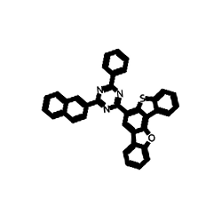 c1ccc(-c2nc(-c3ccc4ccccc4c3)nc(-c3cc4c5ccccc5oc4c4c3sc3ccccc34)n2)cc1